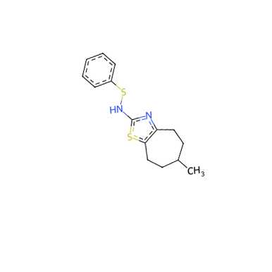 CC1CCc2nc(NSc3ccccc3)sc2CC1